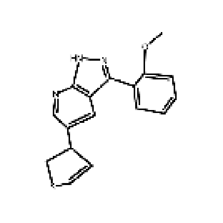 COc1ccccc1-c1n[nH]c2ncc(C3C=CSC3)cc12